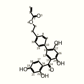 C=CC(=O)OCCc1ccc(-c2cc(C(=O)c3ccc(O)cc3O)c(O)cc2O)cc1